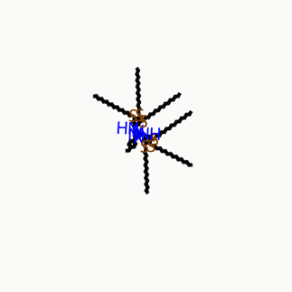 CCCCCCCCCCCCCCCSc1cc(Nc2nc(Nc3cc(SCCCCCCCCCCCCCCC)c(SCCCCCCCCCCCCCCC)c(SCCCCCCCCCCCCCCC)c3)nc(-c3ccc(CC)cc3)n2)cc(SCCCCCCCCCCCCCCC)c1SCCCCCCCCCCCCCCC